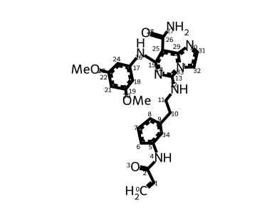 C=CC(=O)Nc1cccc(CCNc2nc(Nc3cc(OC)cc(OC)c3)c(C(N)=O)c3nccn23)c1